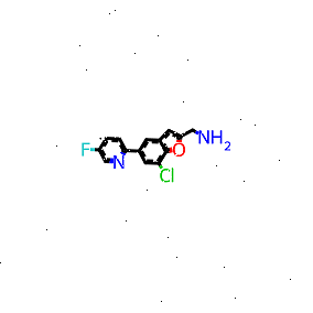 NCc1cc2cc(-c3c[c]c(F)cn3)cc(Cl)c2o1